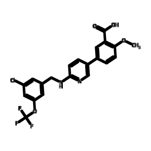 COc1ccc(-c2ccc(NCc3cc(Cl)cc(OC(F)(F)F)c3)nc2)cc1C(=O)O